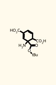 CC(C)(C)OC(=O)C1(N)C=C(C(=O)O)C=CC1C(=O)O